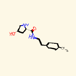 O=C(NCCc1ccc(C(F)(F)F)cc1)[C@@H]1C[C@H](O)CN1